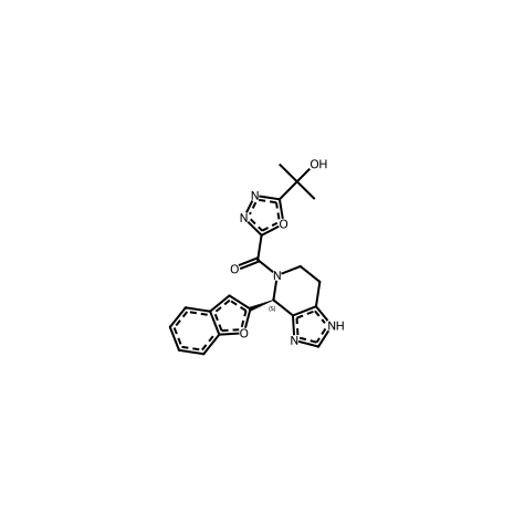 CC(C)(O)c1nnc(C(=O)N2CCc3[nH]cnc3[C@H]2c2cc3ccccc3o2)o1